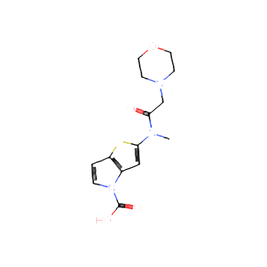 CN(C(=O)CN1CCOCC1)c1cc2c(ccn2C(=O)O)s1